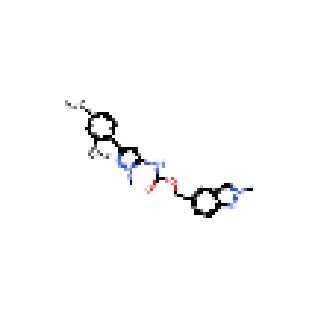 COc1ccc(-c2cc(NC(=O)OCc3ccc4nn(C)cc4c3)n(C)n2)c(OC)c1